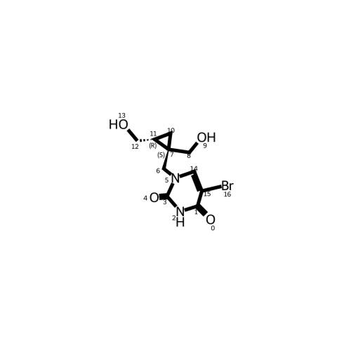 O=c1[nH]c(=O)n(C[C@]2(CO)C[C@H]2CO)cc1Br